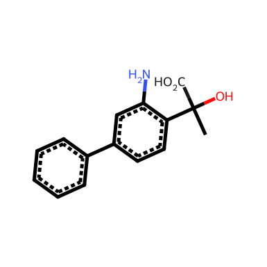 CC(O)(C(=O)O)c1ccc(-c2ccccc2)cc1N